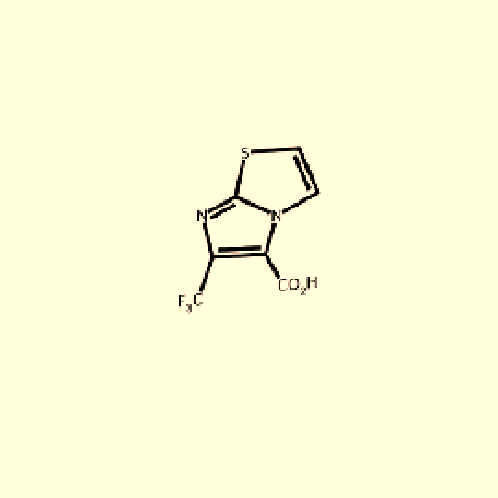 O=C(O)c1c(C(F)(F)F)nc2sccn12